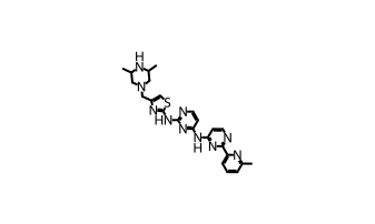 Cc1cccc(-c2nccc(Nc3ccnc(Nc4nc(CN5CC(C)NC(C)C5)cs4)n3)n2)n1